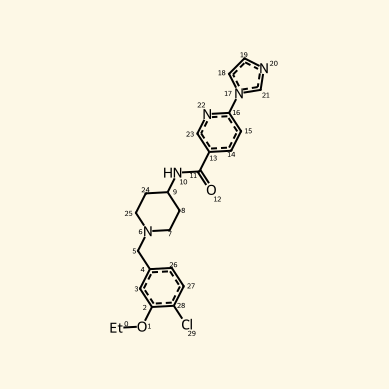 CCOc1cc(CN2CCC(NC(=O)c3ccc(-n4ccnc4)nc3)CC2)ccc1Cl